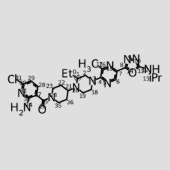 CC[C@H]1CN(c2ncc(-c3nnc(NC(C)C)o3)nc2C)CCN1C1CCN(C(=O)c2ccc(Cl)nc2N)CC1